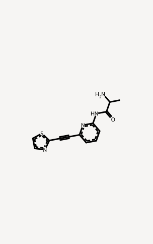 CC(N)C(=O)Nc1cccc(C#Cc2nccs2)n1